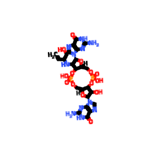 C=CC(CO)NC1C2OP(=O)(O)OC[C@H]3O[C@@H](n4cnc5c(=O)[nH]c(N)nc54)C(O)C3OP(=O)(O)OC[C@H]2O[C@H]1n1cnc2c(=O)[nH]c(N)nc21